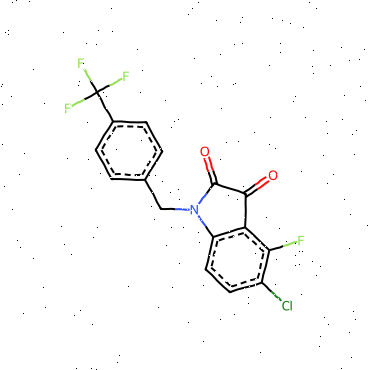 O=C1C(=O)N(Cc2ccc(C(F)(F)F)cc2)c2ccc(Cl)c(F)c21